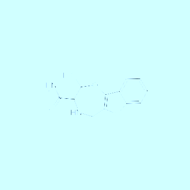 NC(=O)C1NCc2oc3ccccc3c2OC1C(F)(F)F